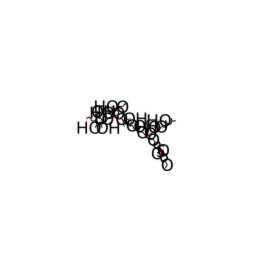 CCCC1C(CO)OC(COCC2C(COC[C@@H](O)COCC(O)COCC(COc3ccc(S(=O)(=O)c4ccc(OC)cc4)cc3)OCC(O)COCC(O)CC(C)C)OC(COCC)C(O)C2O)C(O)C1O